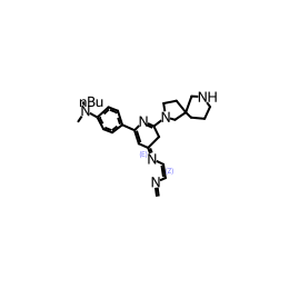 C=N/C=C\N=C1\C=C(c2ccc(N(C)CCCC)cc2)N=C(N2CCC3(CCCNC3)C2)C1